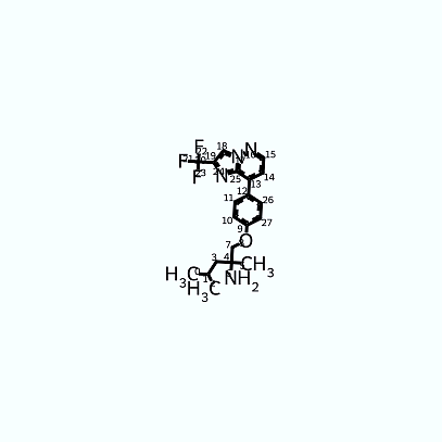 CC(C)CC(C)(N)COc1ccc(-c2ccnn3cc(C(F)(F)F)nc23)cc1